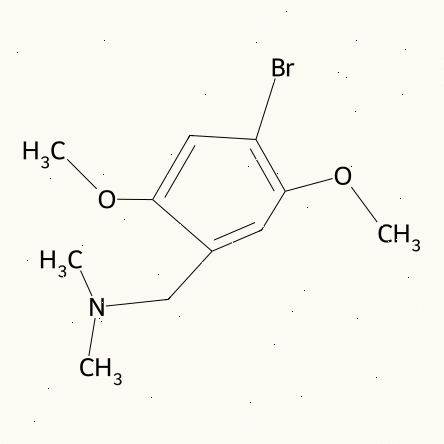 COc1cc(CN(C)C)c(OC)cc1Br